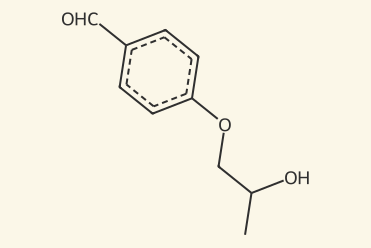 CC(O)COc1ccc(C=O)cc1